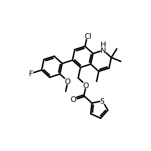 COc1cc(F)ccc1-c1cc(Cl)c2c(c1COC(=O)c1cccs1)C(C)=CC(C)(C)N2